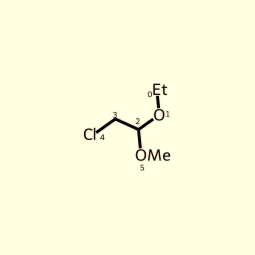 CCOC(CCl)OC